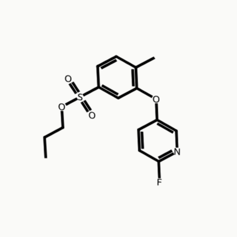 CCCOS(=O)(=O)c1ccc(C)c(Oc2ccc(F)nc2)c1